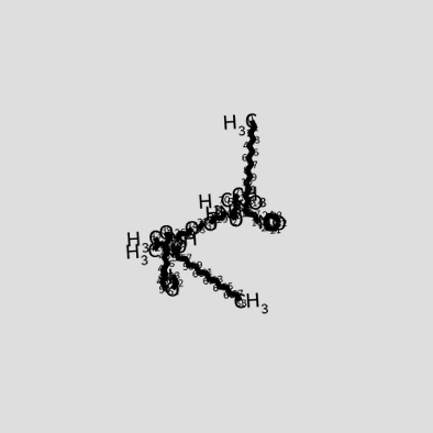 CCCCCCCCCCCCCC(=O)N(CCCN1CCOCC1)C(C(=O)NCCOCCOCCNC(=O)C(C(C)C)N(CCCN1CCOCC1)C(=O)CCCCCCCCCCCCC)C(C)C